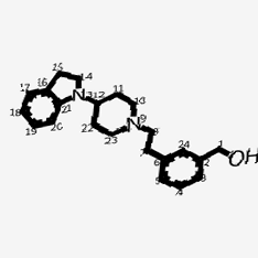 OCc1cccc(CCN2CCC(N3CCc4ccccc43)CC2)c1